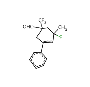 CC1(F)C=C(c2ccccc2)CC(C=O)(C(F)(F)F)C1